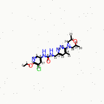 CCOc1ncc(NC(=O)NCc2cc(C)c(N3CC(C)OC(C)C3)nn2)cc1Cl